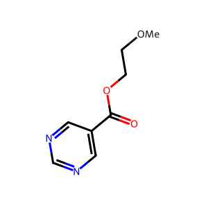 COCCOC(=O)c1cncnc1